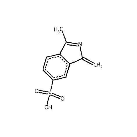 C=C1N=C(C)c2ccc(S(=O)(=O)O)cc21